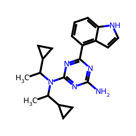 CC(C1CC1)N(c1nc(N)nc(-c2cccc3[nH]ccc23)n1)C(C)C1CC1